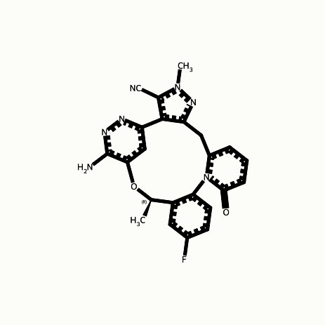 C[C@H]1Oc2cc(nnc2N)-c2c(nn(C)c2C#N)Cc2cccc(=O)n2-c2ccc(F)cc21